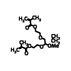 C=C.C=C(C)C(=O)OCCOCC(OC)OCCOC(=O)C(=C)C